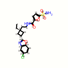 CC[C@]1(CCNC(=O)c2ccc(S(N)(=O)=O)o2)C[C@@H](c2nc3cc(Cl)ccc3o2)C1